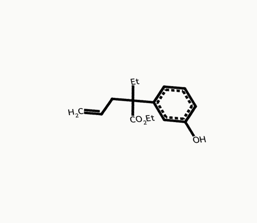 C=CCC(CC)(C(=O)OCC)c1cccc(O)c1